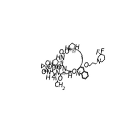 C=C[C@@H]1C[C@]1(NC(=O)[C@@H]1C[C@@H]2CN1C(=O)[C@H](C1CCCC1)NC(=O)O[C@@H]1CCC[C@H]1CCC=CCc1c(nc3ccccc3c1OCCCN1CCCC(F)(F)C1)O2)C(=O)NS(=O)(=O)C1(C)CC1